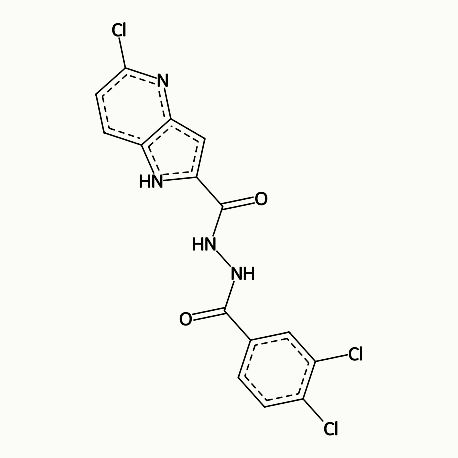 O=C(NNC(=O)c1cc2nc(Cl)ccc2[nH]1)c1ccc(Cl)c(Cl)c1